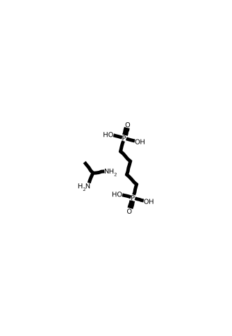 CC(N)N.O=P(O)(O)CCCCP(=O)(O)O